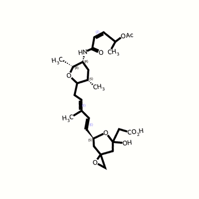 CC(=O)OC(C)/C=C\C(=O)N[C@@H]1C[C@H](C)C(C/C=C(C)/C=C/[C@@H]2CC3(CO3)CC(O)(CC(=O)O)O2)O[C@@H]1C